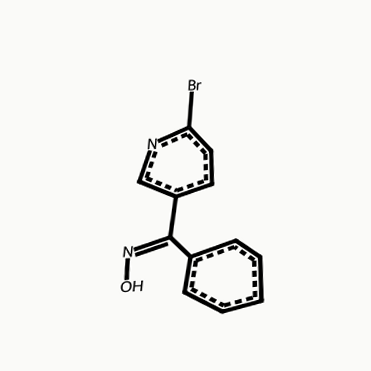 O/N=C(\c1ccccc1)c1ccc(Br)nc1